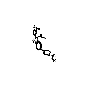 Cc1nnc2ccc(-c3[nH]c4ccc(C5CCN(C(=O)CN(C)C)CC5)cc4c3C(C)C)cn12